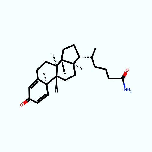 CC(CCCC(N)=O)[C@H]1CC[C@H]2[C@@H]3CCC4=CC(=O)C=C[C@]4(C)[C@H]3CC[C@]12C